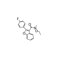 CCON(C)C(=O)c1c(-c2ccc(F)cc2)oc2ccccc12